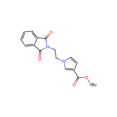 CC(C)(C)OC(=O)c1ccn(CCN2C(=O)c3ccccc3C2=O)c1